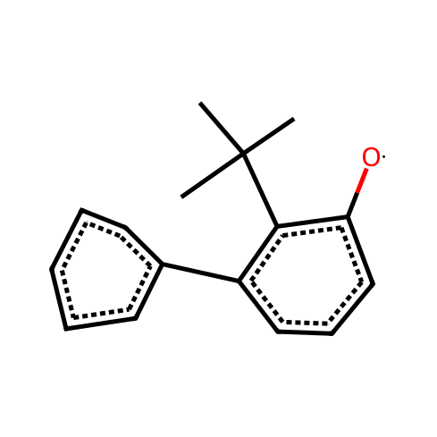 CC(C)(C)c1c([O])cccc1-c1ccccc1